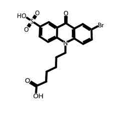 O=C(O)CCCCCn1c2ccc(Br)cc2c(=O)c2cc(S(=O)(=O)O)ccc21